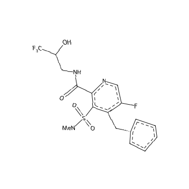 CNS(=O)(=O)c1c(C(=O)NCC(O)C(F)(F)F)ncc(F)c1Cc1ccccc1